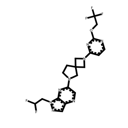 FC(F)Cn1ncc2ncc(N3CCC4(CN(c5ccnc(OCC(F)(F)F)n5)C4)C3)nc21